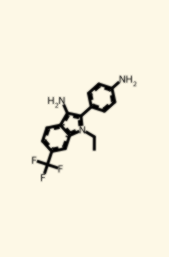 CCn1c(-c2ccc(N)cc2)c(N)c2ccc(C(F)(F)F)cc21